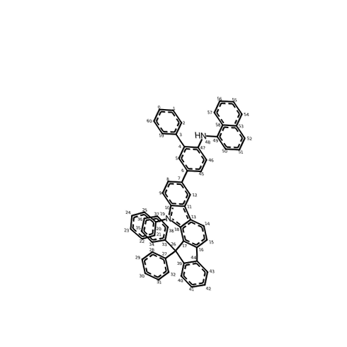 c1ccc(-c2cc(-c3ccc4c(c3)c3ccc5c(c3n4-c3ccccc3)C(c3ccccc3)(c3ccccc3)c3ccccc3-5)ccc2Nc2cccc3ccccc23)cc1